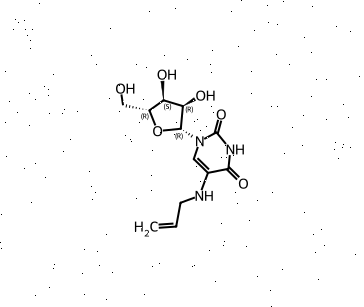 C=CCNc1cn([C@@H]2O[C@H](CO)[C@@H](O)[C@H]2O)c(=O)[nH]c1=O